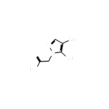 Nc1cnn(CC(=O)O)c1N